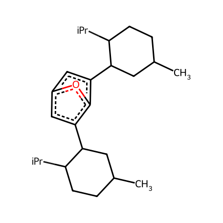 CC1CCC(C(C)C)C(c2cc3cc(C4CC(C)CCC4C(C)C)c2o3)C1